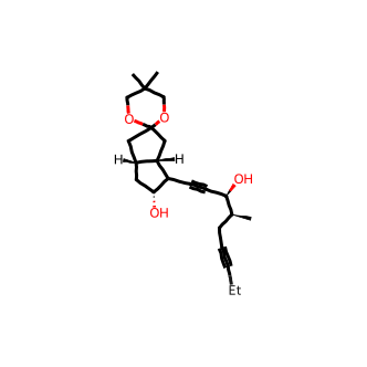 CCC#CC[C@H](C)[C@H](O)C#CC1[C@H](O)C[C@@H]2CC3(C[C@H]12)OCC(C)(C)CO3